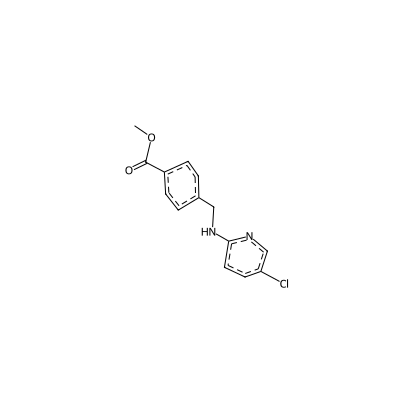 COC(=O)c1ccc(CNc2ccc(Cl)cn2)cc1